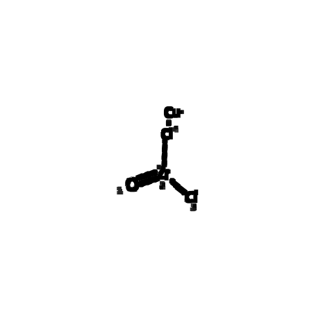 [Cu].[O]=[Zr]([Cl])[Cl]